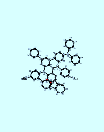 CCCCc1ccc(N2B3c4cc5c(cc4N(c4ccc(CCCC)cc4-c4ccccc4)c4cc(-c6ccccc6)cc(c43)-c3ccc(N(c4ccccc4)c4ccccc4)cc32)oc2ccccc25)cc1